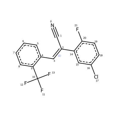 N#C/C(=C\c1ccccc1C(F)(F)F)c1cc(Cl)ccc1F